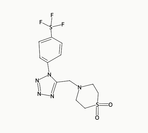 O=S1(=O)CCN(Cc2nnnn2-c2ccc(S(F)(F)F)cc2)CC1